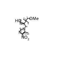 COCC(C)(C)C(Cn1cnc([N+](=O)[O-])c1C)=NO